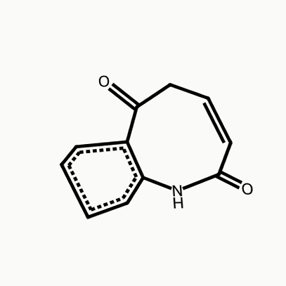 O=C1/C=C\CC(=O)c2ccccc2N1